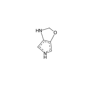 c1[nH]cc2c1NCO2